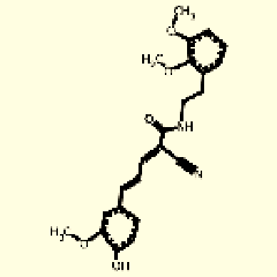 COc1cc(/C=C/C=C(\C#N)C(=O)NCCc2cccc(OC)c2OC)ccc1O